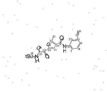 C#Cc1cccc(NC(=O)c2cc(C(=O)C(=O)NC(C)(C)C)oc2C)c1